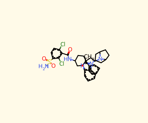 Cc1nc2ccccc2n1C1CC2CCC(C1)N2CCC1(c2ccccc2)CCC(NC(=O)c2c(Cl)ccc(S(N)(=O)=O)c2Cl)CC1